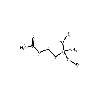 CC(=S)OCC[Si](C)(OC(C)C)OC(C)C